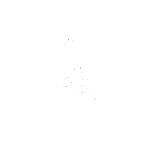 CCCCCCCCCC(=O)CCCC/C=C/[C@H](C(=O)N[C@@H](Cc1ccc(Oc2ccccc2)cc1)C(=O)O)[C@@](O)(CC(=O)O)C(=O)O